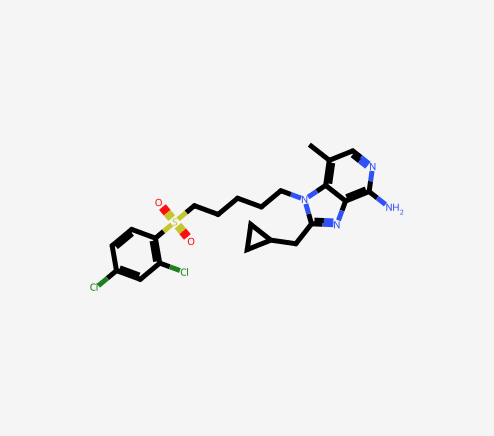 Cc1cnc(N)c2nc(CC3CC3)n(CCCCCS(=O)(=O)c3ccc(Cl)cc3Cl)c12